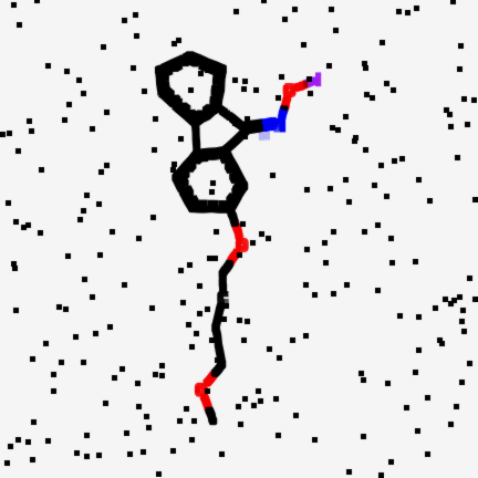 COCCCCOc1ccc2c(c1)/C(=N/OI)c1ccccc1-2